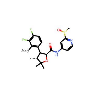 COc1c(C2[C@@H](C(=O)Nc3ccnc([S@+](C)[O-])c3)OC(C)(C)[C@@H]2C)ccc(F)c1F